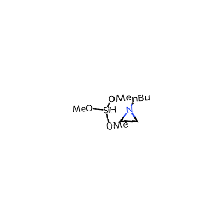 CCCCN1CC1.CO[SiH](OC)OC